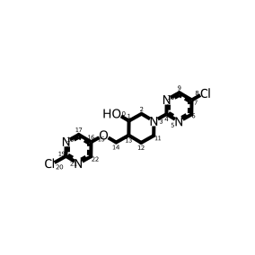 OC1CN(c2ncc(Cl)cn2)CCC1COc1cnc(Cl)nc1